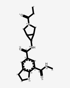 CCC(=O)N1CC2C(C1)C2NC(=O)c1cc2c(c(C(=O)NC)c1)OCC2